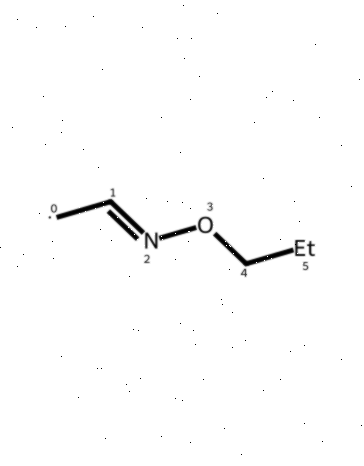 [CH2]C=NOCCC